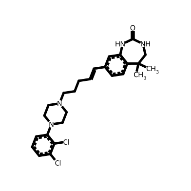 CC1(C)CNC(=O)Nc2cc(/C=C/CCCN3CCN(c4cccc(Cl)c4Cl)CC3)ccc21